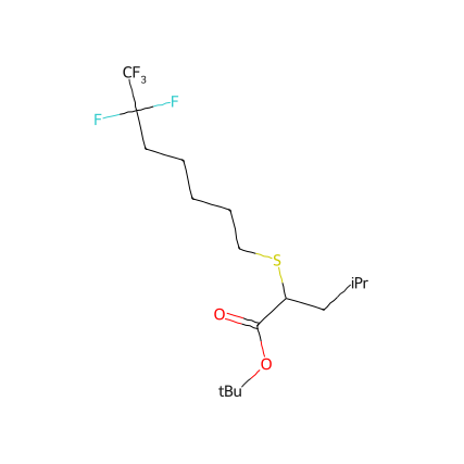 CC(C)CC(SCCCCCC(F)(F)C(F)(F)F)C(=O)OC(C)(C)C